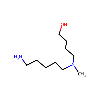 CN(CCCCO)CCCCCN